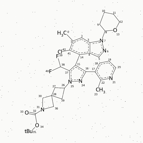 Cc1cc2c(cnn2C2CCCCO2)c(-c2c(-c3cccnc3C)nn(C3CC4(C3)CN(C(=O)OC(C)(C)C)C4)c2C(F)F)c1Cl